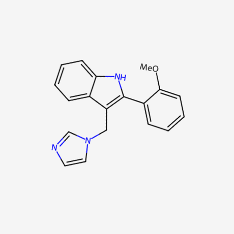 COc1ccccc1-c1[nH]c2ccccc2c1Cn1ccnc1